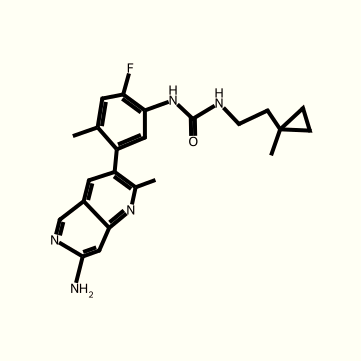 Cc1cc(F)c(NC(=O)NCCC2(C)CC2)cc1-c1cc2cnc(N)cc2nc1C